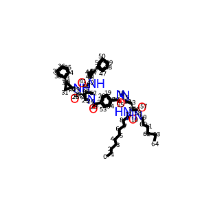 CCCCCCCCCC(=O)N[C@@H](Cc1nnc(-c2ccc(C(=O)N3C[C@@H](C(=O)N[C@H]4C[C@@H]4c4ccccc4)[C@H](C(=O)N[C@H]4C[C@@H]4c4ccccc4)C3)cc2)o1)C(=O)NCCCCCC